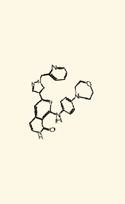 O=c1[nH]ccc2cc(C3C=NN(Cc4ccccn4)C3)nc(Nc3ccc(N4CCOCC4)cc3)c12